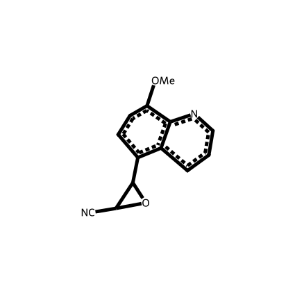 COc1ccc(C2OC2C#N)c2cccnc12